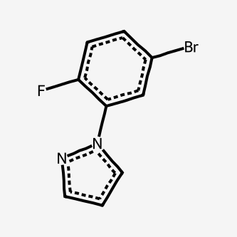 Fc1ccc(Br)cc1-n1cccn1